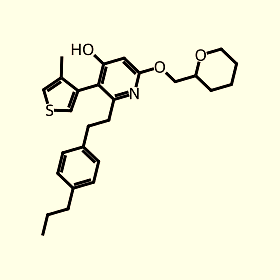 CCCc1ccc(CCc2nc(OCC3CCCCO3)cc(O)c2-c2cscc2C)cc1